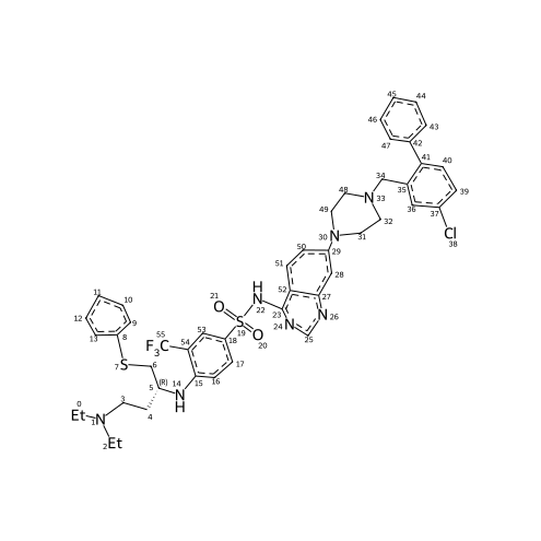 CCN(CC)CC[C@H](CSc1ccccc1)Nc1ccc(S(=O)(=O)Nc2ncnc3cc(N4CCN(Cc5cc(Cl)ccc5-c5ccccc5)CC4)ccc23)cc1C(F)(F)F